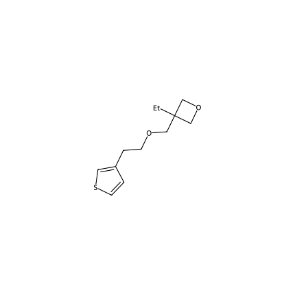 CCC1(COCCc2ccsc2)COC1